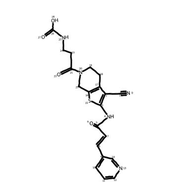 N#Cc1c(NC(=O)C=Cc2cccnc2)sc2c1CCN(C(=O)CCNC(=O)O)C2